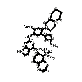 COc1cc(N2CCN3CCCCC3C2)c(-c2cnn(C)c2)cc1Nc1nc(Nc2ccc3nccnc3c2P(C)(C)=O)c2cc[nH]c2n1